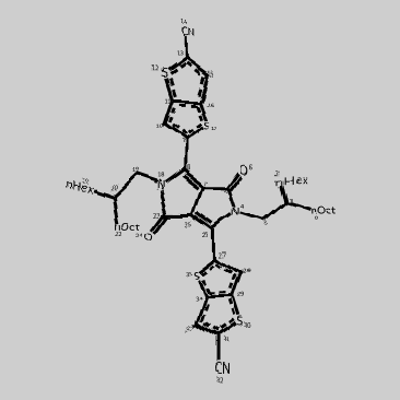 CCCCCCCCC(CCCCCC)CN1C(=O)C2=C(c3cc4sc(C#N)cc4s3)N(CC(CCCCCC)CCCCCCCC)C(=O)C2=C1c1cc2sc(C#N)cc2s1